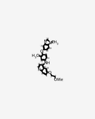 COCCOc1ccc2nccc(Nc3ccc(Oc4ccc5c(c4)ncn5C)c(C)c3)c2c1